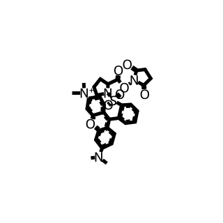 CN(C)c1ccc2c(-c3ccccc3S(=O)(=O)N3CCCC3C(=O)ON3C(=O)CCC3=O)c3ccc(=[N+](C)C)cc-3oc2c1